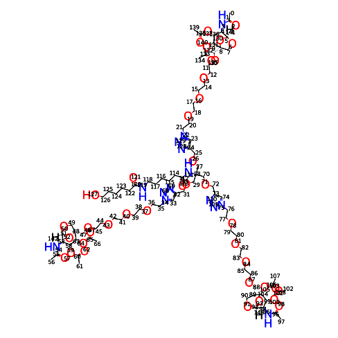 CC(=O)N[C@H]1[C@H]2OC[C@](COCCOCCOCCOCCn3cc(COCC(COCc4cn(CCOCCOCCOCCOC[C@@]56CO[C@@H](O5)[C@H](NC(C)=O)[C@@H](OC(C)=O)[C@H]6OC(C)=O)nn4)(COCc4cn(CCOCCOCCOCCOC[C@@]56CO[C@@H](O5)[C@H](NC(C)=O)[C@@H](OC(C)=O)[C@H]6OC(C)=O)nn4)NC(=O)CCCCCNC(=O)CCCCCO)nn3)(O2)[C@H](OC(C)=O)[C@@H]1OC(C)=O